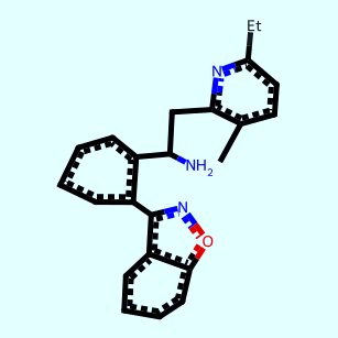 CCc1ccc(C)c(CC(N)c2ccccc2-c2noc3ccccc23)n1